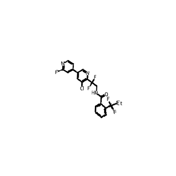 CCC(F)(F)c1ccccc1C(=O)NCC(F)(F)c1ncc(-c2ccnc(F)c2)cc1Cl